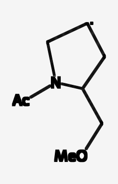 COCC1C[CH]CN1C(C)=O